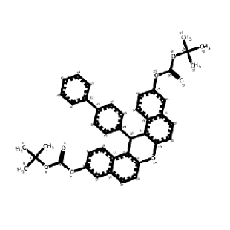 CC(C)(C)OC(=O)Oc1ccc2c3c(ccc2c1)Oc1ccc2cc(OC(=O)OC(C)(C)C)ccc2c1C3c1ccc(-c2ccccc2)cc1